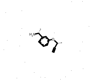 C#C[C@@H](C)Oc1cccc([C@@H](C)N)c1